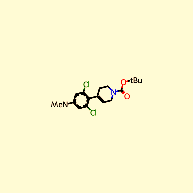 CNc1cc(Cl)c(C2=CCN(C(=O)OC(C)(C)C)CC2)c(Cl)c1